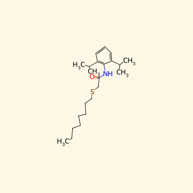 CCCCCCCCSCC(=O)Nc1c(C(C)C)cccc1C(C)C